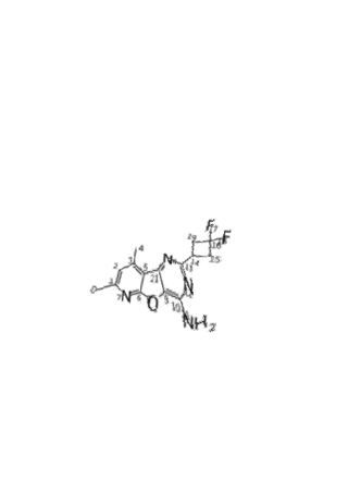 Cc1cc(C)c2c(n1)oc1c(N)nc(C3CC(F)(F)C3)nc12